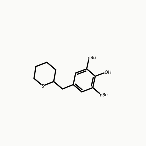 CCCCc1cc(CC2CCCCS2)cc(CCCC)c1O